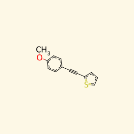 COc1ccc(C#Cc2cccs2)cc1